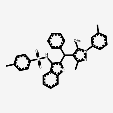 CC(=O)Oc1c(C(c2ccccc2)c2oc3ccccc3c2NS(=O)(=O)c2ccc(C)cc2)c(C)nn1-c1cccc(C)c1